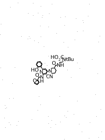 CC(C)(C)N(CCNC(=O)C1CCCN(c2cc(-c3ccccc3O)nc(NC(=O)c3ccco3)c2C#N)C1)C(=O)O